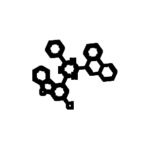 Clc1cc(-c2nc(C3=CC4C=CC=CC4c4ccccc43)nc(-c3ccccc3)n2)c2c(c1)oc1ccccc12